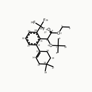 CCOC(=O)C(OC(C)(C)C)c1c(C2=CCC(C)(C)CC2)cccc1C(F)(F)F